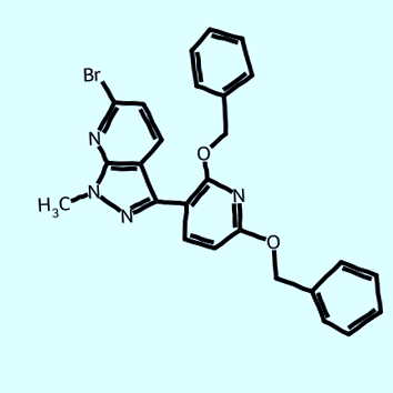 Cn1nc(-c2ccc(OCc3ccccc3)nc2OCc2ccccc2)c2ccc(Br)nc21